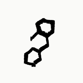 Fc1ccccc1/C=C1/C=NC=CC1